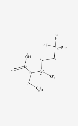 CCC(C(=O)O)[S+]([O-])CCC(F)(F)F